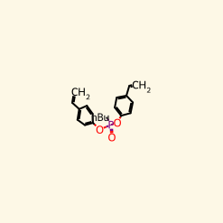 C=Cc1ccc(OP(=O)(CCCC)Oc2ccc(C=C)cc2)cc1